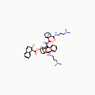 CN(C)CCCNC(=O)C1C2CCC(C(OC(=O)c3c(Cl)ccc4ccccc34)C2)C1C(=O)NC(=O)C1C2CCC(CC2OC(=O)c2c(Cl)ccc3ccccc23)C1C(=O)NCCCN(C)C